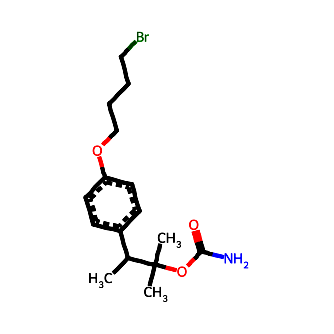 CC(c1ccc(OCCCCBr)cc1)C(C)(C)OC(N)=O